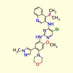 COc1cc(N2CCOCC2)c(-c2cnn(C)c2)cc1Nc1ncc(Br)c(Nc2cnc3ccccc3c2P(C)C)n1